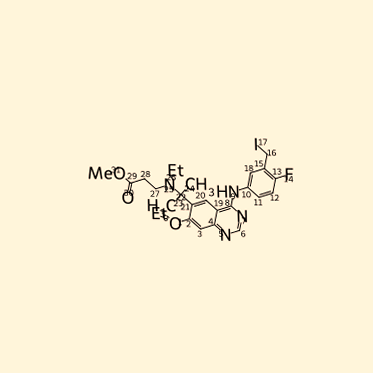 CCOc1cc2ncnc(Nc3ccc(F)c(CI)c3)c2cc1C(C)(C)N(CC)CCC(=O)OC